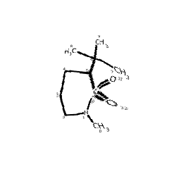 CN1CCCC(C(C)(C)C)S1(=O)=O